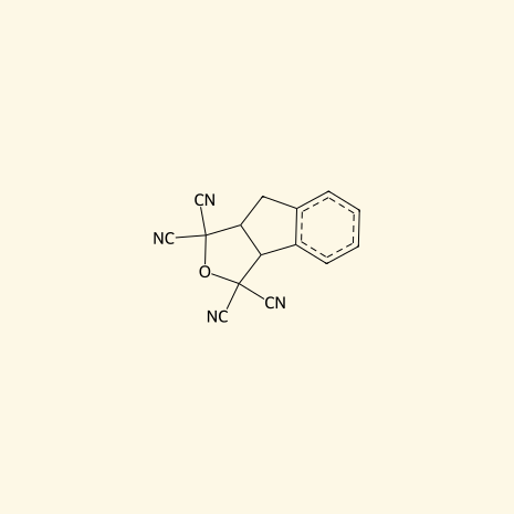 N#CC1(C#N)OC(C#N)(C#N)C2c3ccccc3CC21